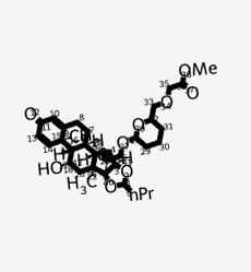 CCCC1O[C@@H]2C[C@H]3[C@@H]4CCC5=CC(=O)C=C[C@]5(C)[C@H]4[C@@H](O)C[C@]3(C)[C@]2(C(=O)COC2CCCC(COCC(=O)OC)O2)O1